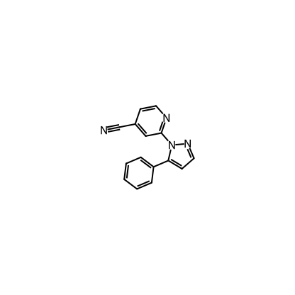 N#Cc1ccnc(-n2nccc2-c2ccccc2)c1